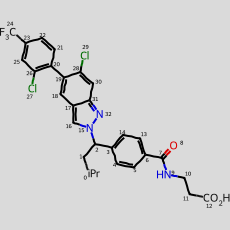 CC(C)CC(c1ccc(C(=O)NCCC(=O)O)cc1)n1cc2cc(-c3ccc(C(F)(F)F)cc3Cl)c(Cl)cc2n1